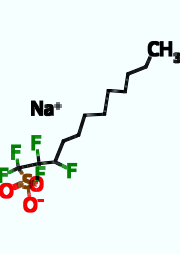 CCCCCCCCCC(F)C(F)(F)C(F)(F)S(=O)(=O)[O-].[Na+]